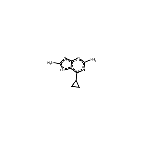 Nc1nc(C2CC2)c2[nH]c(N)nc2n1